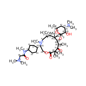 CO[C@]1(C)C[C@@H](C)CN(C)[C@@H](C2CCC(N(C)C(=O)CN(C)C)CC2)COC(=O)C(C)(C)C(=O)[C@H](C)[C@H]1O[C@@H]1O[C@H](C)C[C@H](N(C)C)[C@H]1O